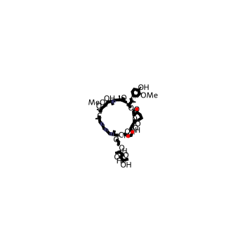 CO[C@@H]1C[C@H](C[C@@H](C)[C@@H]2CC(=O)[C@H](C)/C=C(\C)[C@@H](O)[C@@H](OC)C(=O)[C@H](C)C[C@H](C)/C=C/C=C/C=C(\C)C(OCCO[C@@H]3CO[C@H]4[C@@H]3OC[C@H]4O)C[C@@H]3CC[C@@H](C)[C@@](O)(O3)C(=O)C(=O)N3CCCC[C@H]3C(=O)O2)CC[C@H]1O